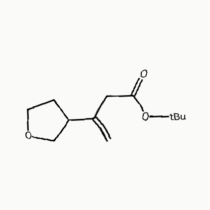 C=C(CC(=O)OC(C)(C)C)C1CCOC1